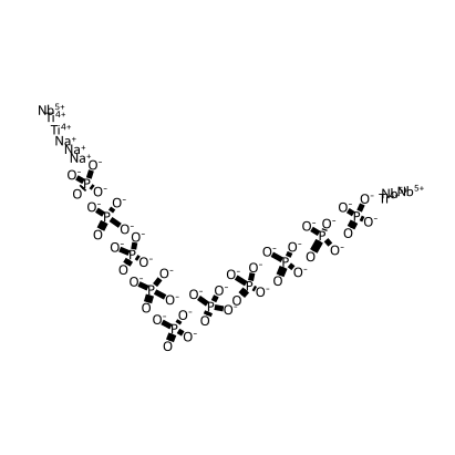 O=P([O-])([O-])[O-].O=P([O-])([O-])[O-].O=P([O-])([O-])[O-].O=P([O-])([O-])[O-].O=P([O-])([O-])[O-].O=P([O-])([O-])[O-].O=P([O-])([O-])[O-].O=P([O-])([O-])[O-].O=P([O-])([O-])[O-].O=P([O-])([O-])[O-].[Na+].[Na+].[Na+].[Nb+5].[Nb+5].[Nb+5].[Ti+4].[Ti+4].[Ti+4]